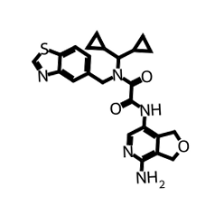 Nc1ncc(NC(=O)C(=O)N(Cc2ccc3scnc3c2)C(C2CC2)C2CC2)c2c1COC2